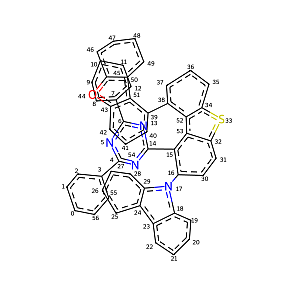 c1ccc(-c2nc(-c3ccccc3)nc(-c3c(-n4c5ccccc5c5ccccc54)ccc4sc5cccc(-c6cccc7oc8ccccc8c67)c5c34)n2)cc1